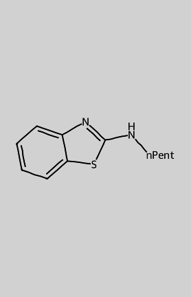 CCCCCNc1nc2ccccc2s1